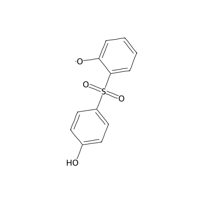 [O]c1ccccc1S(=O)(=O)c1ccc(O)cc1